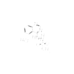 CS(=O)(=O)NNc1ncnc2ccccc12.Cl